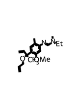 C=CCOC(C=C)(c1cc(C)c(N=CN(C)CC)cc1OC)C(F)(F)F